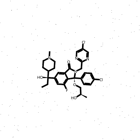 CC[C@@](O)(c1cc(F)c2c(c1)C(=O)N(Cc1ncc(Cl)cn1)[C@@]2(OC[C@@H](C)O)c1ccc(Cl)cc1)C1CCN(C)CC1